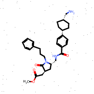 COC(=O)C[C@@H]1C[C@@H](CNC(=O)c2ccc([C@H]3CC[C@@H](CN)CC3)cc2)N(CCCc2ccccc2)C1=O